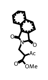 COC(=O)C(CN1C(=O)c2ccc3ccccc3c2C1=O)C(C)=O